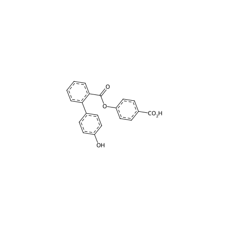 O=C(O)c1ccc(OC(=O)c2ccccc2-c2ccc(O)cc2)cc1